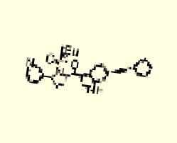 CC(C)(C)OC(=O)N1C(C(=O)c2c[nH]c3cc(C#Cc4ccccc4)ccc23)CSC1c1cccnc1